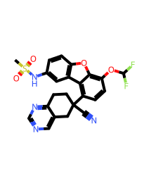 CS(=O)(=O)Nc1ccc2oc3c(OC(F)F)ccc(C4(C#N)CCc5ncncc5C4)c3c2c1